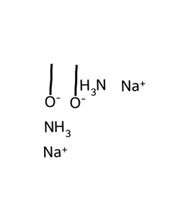 C[O-].C[O-].N.N.[Na+].[Na+]